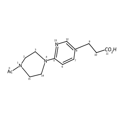 CC(=O)N1CCN(c2ccc(CCC(=O)O)cn2)CC1